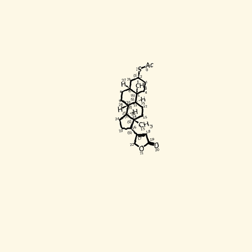 CC(=O)S[C@H]1CC[C@@]2(C)[C@H](CC[C@@H]3[C@@H]2CC[C@]2(C)[C@@H](C4=CC(=O)OC4)CC[C@@H]32)C1